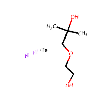 CC(C)(O)COCCO.I.I.[Te]